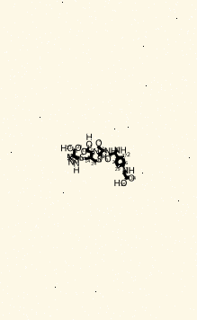 NC(C(=O)NC1C(=O)N2C(C(=O)O)=C(CSc3[nH]nnc3C(=O)O)CS[C@H]12)c1ccc(NCC(=O)O)cc1